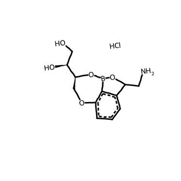 Cl.NCC1OB2O[C@H]([C@@H](O)CO)COc3cccc1c32